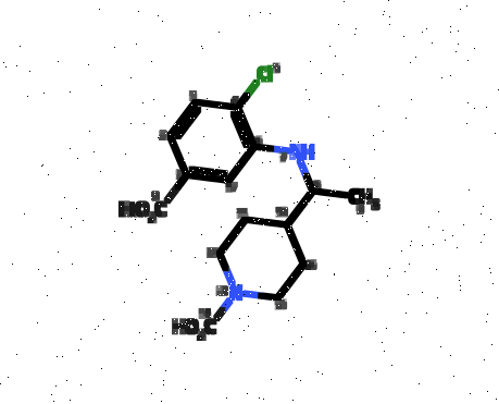 CCOC(=O)c1ccc(Cl)c(NC(C)C2CCN(C(=O)O)CC2)c1